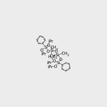 CC(C)O[Si](OC(C)C)(O[Si](C)(C)O[Si](C)(C)O[Si](OC(C)C)(OC(C)C)c1ccccc1)c1ccccc1